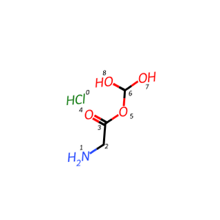 Cl.NCC(=O)OC(O)O